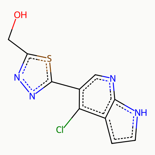 OCc1nnc(-c2cnc3[nH]ccc3c2Cl)s1